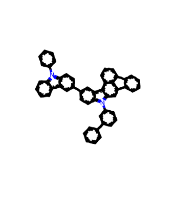 c1ccc(-c2cccc(-n3c4ccc(-c5ccc6c(c5)c5ccccc5n6-c5ccccc5)cc4c4c5cccc6c5c(cc43)-c3ccccc3-6)c2)cc1